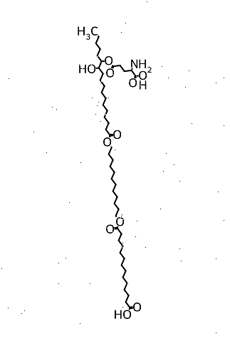 CCCCCC(OC(=O)CC[C@@H](N)C(=O)O)C(O)CCCCCCCCCCC(=O)OCCCCCCCCCCCCOC(=O)CCCCCCCCCCCCC(=O)O